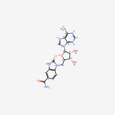 NC(=O)c1ccc2c(c1)[nH]c(=S)n2CC1OC(n2cnc3c(N)ncnc32)[C@H](O)[C@@H]1O